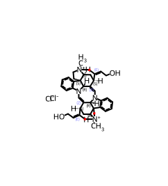 C[N+]12CCC34c5ccccc5N5/C=C6/[C@H]7C[C@H]8[C@@]9(CC[N+]8(C)C/C7=C/CO)c7ccccc7N(/C=C(/[C@@H](C[C@@H]31)/C(=C\CO)C2)[C@H]54)[C@@H]69.[Cl-].[Cl-]